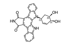 O=C1NC(=O)c2c1c1c3ccccc3[nH]c1c1c2c2ccccc2n1[C@@H]1C=C[C@H](O)[C@H](O)C1